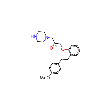 COc1ccc(CCc2ccccc2OC[C@@H](O)CN2CCNCC2)cc1